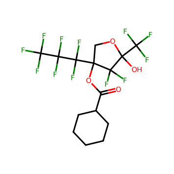 O=C(OC1(C(F)(F)C(F)(F)C(F)(F)F)COC(O)(C(F)(F)F)C1(F)F)C1CCCCC1